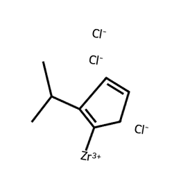 CC(C)C1=[C]([Zr+3])CC=C1.[Cl-].[Cl-].[Cl-]